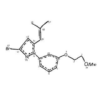 COCCOc1cccc(-n2nc(Br)cc2C=C(C)C)c1